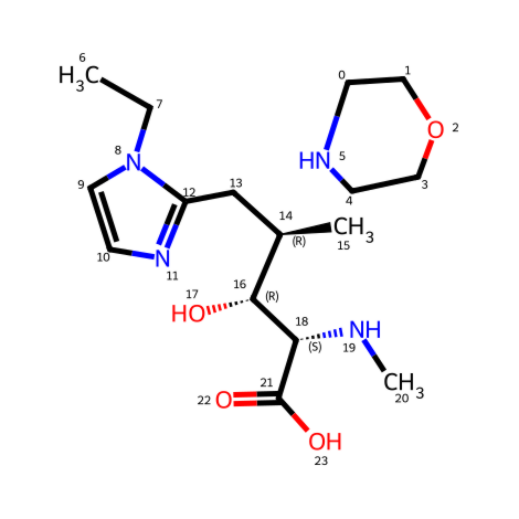 C1COCCN1.CCn1ccnc1C[C@@H](C)[C@@H](O)[C@H](NC)C(=O)O